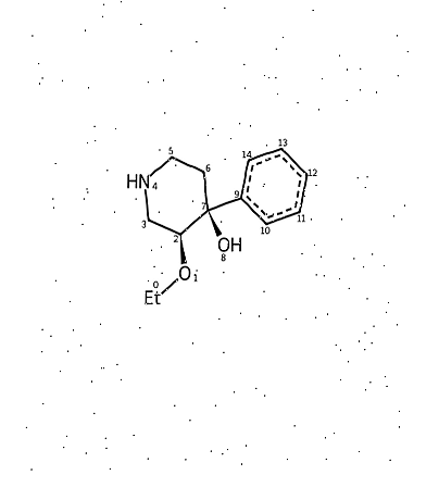 CCO[C@H]1CNCC[C@]1(O)c1ccccc1